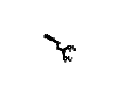 [CH2]C(C)CSC#N